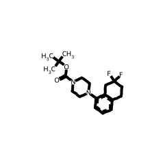 CC(C)(C)OC(=O)N1CCN(c2cccc3c2CC(F)(F)CC3)CC1